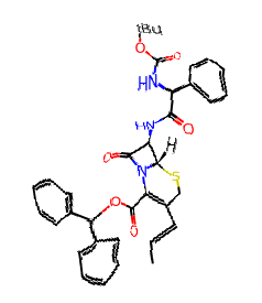 CC=CC1=C(C(=O)OC(c2ccccc2)c2ccccc2)N2C(=O)[C@@H](NC(=O)C(NC(=O)OC(C)(C)C)c3ccccc3)[C@@H]2SC1